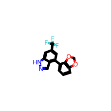 FC(F)(F)c1cc(-c2cccc3c2OCO3)c2cn[nH]c2c1